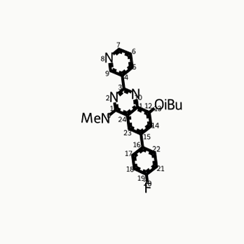 CNc1nc(-c2cccnc2)nc2c(OCC(C)C)cc(-c3ccc(F)cc3)cc12